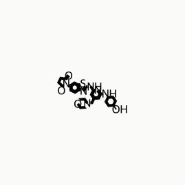 O=C1CCC(=O)N1c1ccc2nc(Nc3cc(CN4CCOCC4)cc(N[C@H]4CC[C@H](O)CC4)n3)sc2c1